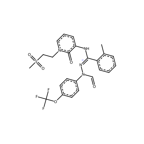 Cc1ccccc1/C(=N\N(C=O)c1ccc(OC(F)(F)F)cc1)Nc1cccn(CCS(C)(=O)=O)c1=O